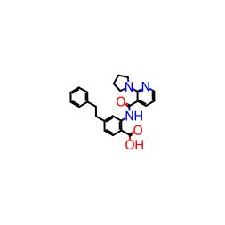 O=C(O)c1ccc(CCc2ccccc2)cc1NC(=O)c1cccnc1N1CCCC1